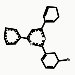 BrC1C=CC=C(c2nc(C3=CCCC=C3)cc(-c3ccccc3)n2)C1